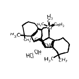 CC1=CC2=C(CCCC2(C)C)[CH]1[Zr]([CH3])([CH3])(=[GeH2])[CH]1C(C)=CC2=C1CCCC2(C)C.Cl.Cl